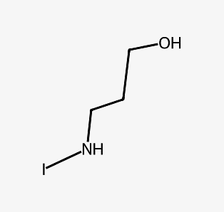 OCCCNI